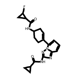 O=C(Nc1nc2cccc(C3=CCC(NC(=O)C4CC4F)CC3)n2n1)C1CC1